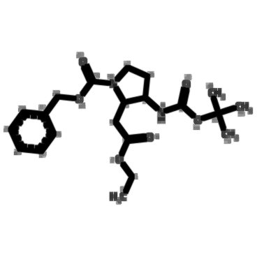 CCOC(=O)CC1C(NC(=O)OC(C)(C)C)CCN1C(=O)OCc1ccccc1